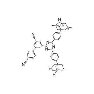 CC1C[C@@H]2C[C@H](C)CC(c3ccc(-c4nc(-c5ccc(C67C[C@H](C)C[C@H](C[C@H](C)C6)C7)cc5)nc(-c5cc(C#N)cc(-c6ccc(C#N)cc6)c5)n4)cc3)(C1)C2